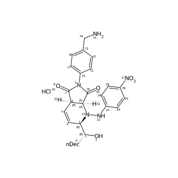 CCCCCCCCCC[C@@H](O)[C@H]1C=C[C@H]2C(=O)N(c3ccc(CN)cc3)C(=O)[C@H]2N1Nc1ccc([N+](=O)[O-])cc1.Cl